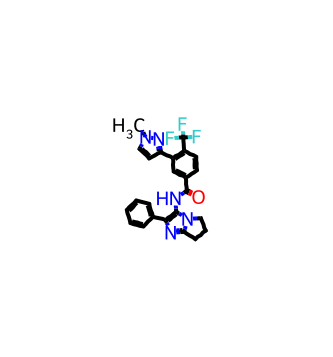 Cn1ccc(-c2cc(C(=O)Nc3c(-c4ccccc4)nc4n3CCC4)ccc2C(F)(F)F)n1